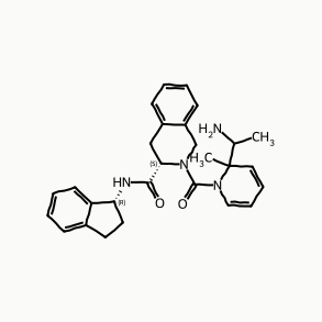 CC(N)C1(C)C=CC=CN1C(=O)N1Cc2ccccc2C[C@H]1C(=O)N[C@@H]1CCc2ccccc21